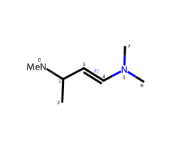 CNC(C)/C=C/N(C)C